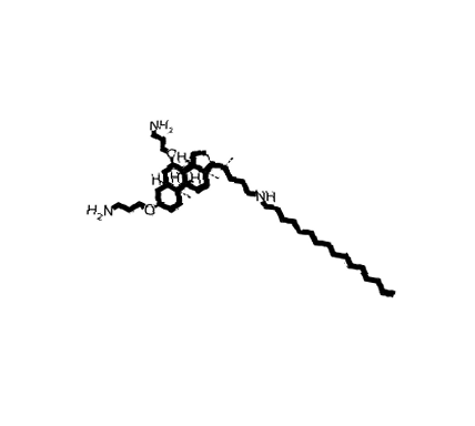 CCCCCCCCCCCCCCCCNCCC[C@@H](C)[C@H]1CC[C@H]2[C@@H]3[C@H](OCCCN)C[C@@H]4C[C@H](OCCCN)CC[C@]4(C)[C@H]3CC[C@]12C